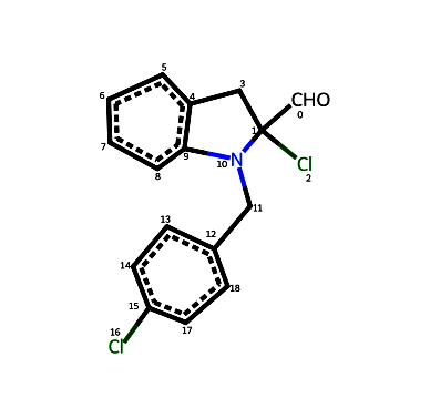 O=CC1(Cl)Cc2ccccc2N1Cc1ccc(Cl)cc1